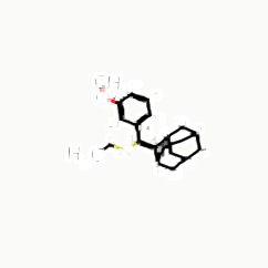 CCSC(=C1C2CC3CC(C2)CC1C3)c1cccc(OC)c1